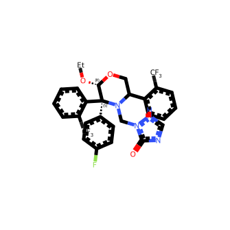 CCO[C@@H]1OCC(c2ccccc2C(F)(F)F)N(Cn2[nH]cnc2=O)[C@@]1(c1ccc(F)cc1)c1ccccc1C(F)(F)F